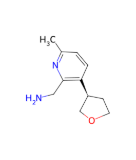 Cc1ccc([C@H]2CCOC2)c(CN)n1